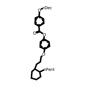 CCCCCCCCCCOc1ccc(C(=O)Oc2ccc(OCCCC3CCCCC3CCCCC)cc2)cc1